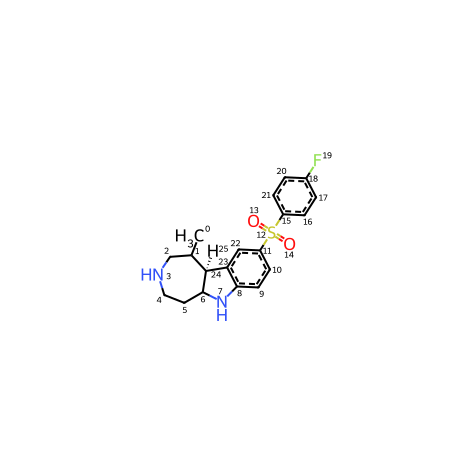 CC1CNCCC2Nc3ccc(S(=O)(=O)c4ccc(F)cc4)cc3[C@H]12